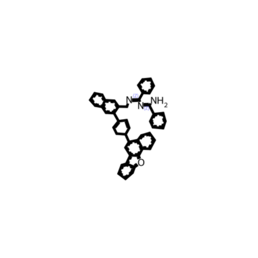 N/C(=N\C(=N/Cc1cc2ccccc2cc1C1=CCC(c2cc3c4ccccc4oc3c3ccccc23)C=C1)c1ccccc1)c1ccccc1